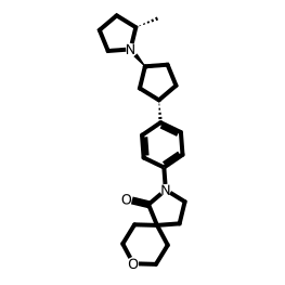 C[C@H]1CCCN1[C@H]1CC[C@H](c2ccc(N3CCC4(CCOCC4)C3=O)cc2)C1